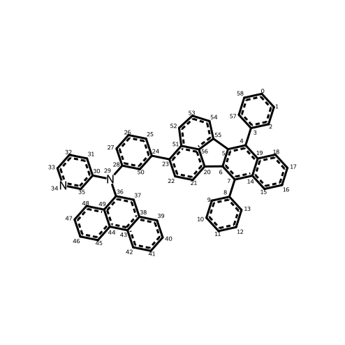 c1ccc(-c2c3c(c(-c4ccccc4)c4ccccc24)-c2ccc(-c4cccc(N(c5cccnc5)c5cc6ccccc6c6ccccc56)c4)c4cccc-3c24)cc1